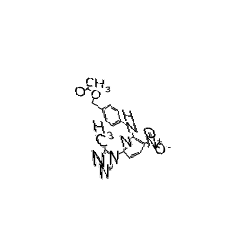 CC(=O)OCc1ccc(Nc2nc(-n3cnnc3C)ccc2[N+](=O)[O-])cc1